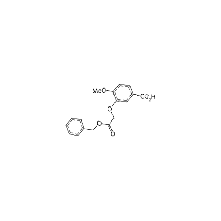 COc1ccc(C(=O)O)cc1OCC(=O)OCc1ccccc1